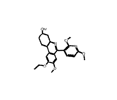 CCOc1cc2c(cc1OC)C(c1ccc(OC)nc1OC)=NC1CC(O)CCC21